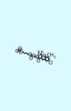 Cc1cc(Cl)cc2c1OC(C(F)(F)F)C(C(=O)OCOC(=O)OCCCCO[N+](=O)[O-])=C2